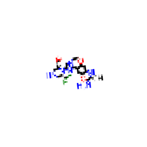 C[C@H](Nc1ccc2c(c1)OCCn1cc(N3C(=C=O)CNC[C@H]3C(F)F)nc1-2)C(N)=O